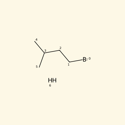 [B]CCC(C)C.[HH]